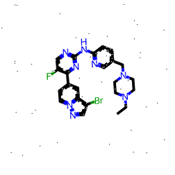 CCN1CCN(Cc2ccc(Nc3ncc(F)c(-c4ccn5ncc(Br)c5c4)n3)nc2)CC1